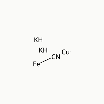 N#[C][Fe].[Cu].[KH].[KH]